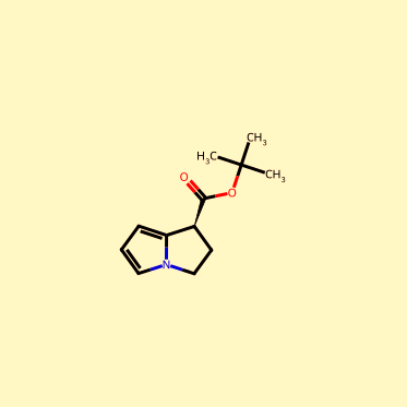 CC(C)(C)OC(=O)[C@H]1CCn2cccc21